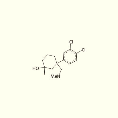 CNCC1(c2ccc(Cl)c(Cl)c2)CCCC(C)(O)C1